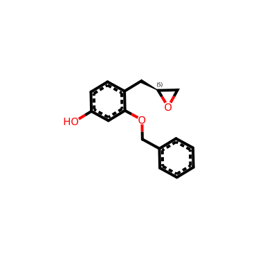 Oc1ccc(C[C@H]2CO2)c(OCc2ccccc2)c1